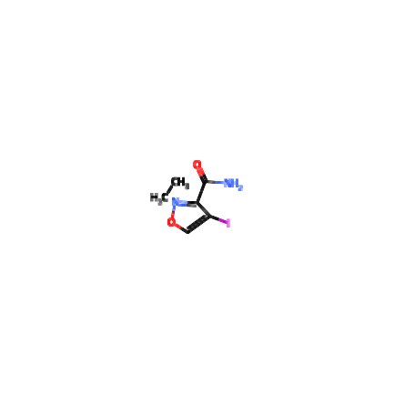 CC.NC(=O)c1nocc1I